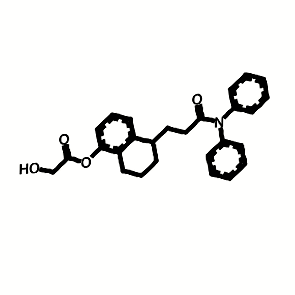 O=C(CO)Oc1cccc2c1CCCC2CCC(=O)N(c1ccccc1)c1ccccc1